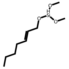 CCCCC=CCO[SiH](OC)OC